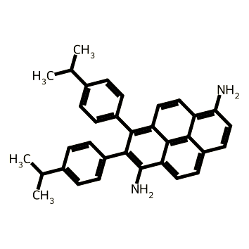 CC(C)c1ccc(-c2c(N)c3ccc4ccc(N)c5ccc(c2-c2ccc(C(C)C)cc2)c3c45)cc1